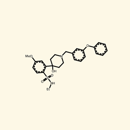 CCNS(=O)(=O)c1ccc(OC)cc1C1(O)CCN(Cc2cccc(Oc3ccccc3)c2)CC1